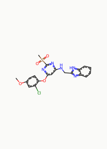 COc1ccc(Oc2cc(NCc3nc4ccccc4[nH]3)nc(S(C)(=O)=O)n2)c(Cl)c1